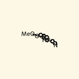 COCCO[C@H]1CCC2=CC3=CC[C@]4(C)[C@@H](c5ccc6ccncc6c5)CC[C@H]4[C@@]34CC[C@]2(C1)O4